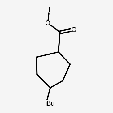 CCC(C)C1CCC(C(=O)OI)CC1